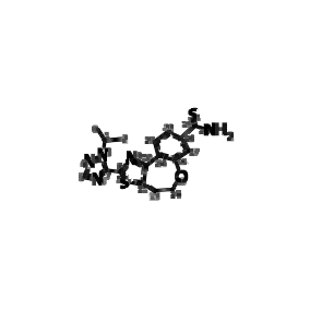 CC(C)n1ncnc1-c1nc2c(s1)CCOc1cc(C(N)=S)ccc1-2